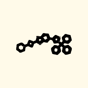 c1ccc(C(c2ccccc2)(c2ccccc2)n2cc(-c3ccc4nc(C5CC(N6CCCCC6)C5)sc4c3)cn2)cc1